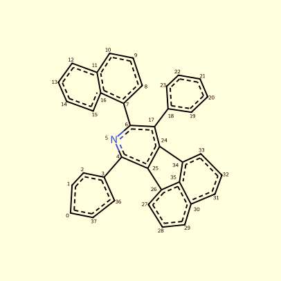 c1ccc(-c2nc(-c3cccc4ccccc34)c(-c3ccccc3)c3c2-c2cccc4cccc-3c24)cc1